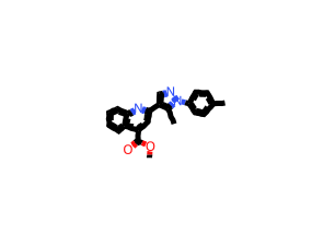 COC(=O)c1cc(-c2cnn(-c3ccc(C)cc3)c2C)nc2ccccc12